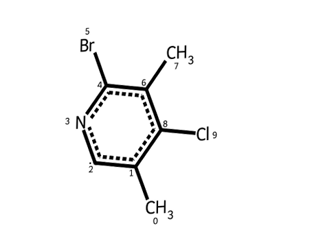 Cc1[c]nc(Br)c(C)c1Cl